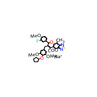 COc1ccc(C(=O)/C(Cc2cc(OC)c(OC3CCCC3)c(OC)c2)=C(/C(=O)[O-])c2cc(C)c3nsnc3c2)cc1F.[Na+]